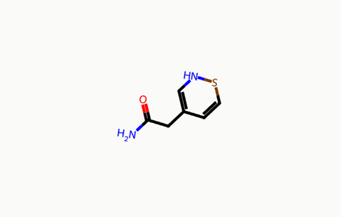 NC(=O)CC1=CNSC=C1